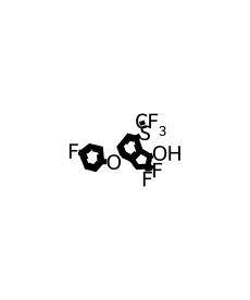 OC1c2c(SC(F)(F)F)ccc(Oc3ccc(F)cc3)c2CC1(F)F